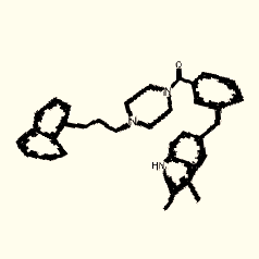 Cc1[nH]c2ccc(Cc3cccc(C(=O)N4CCN(CCCc5cccc6ccccc56)CC4)c3)cc2c1C